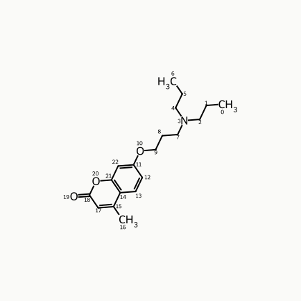 CCCN(CCC)CCCOc1ccc2c(C)cc(=O)oc2c1